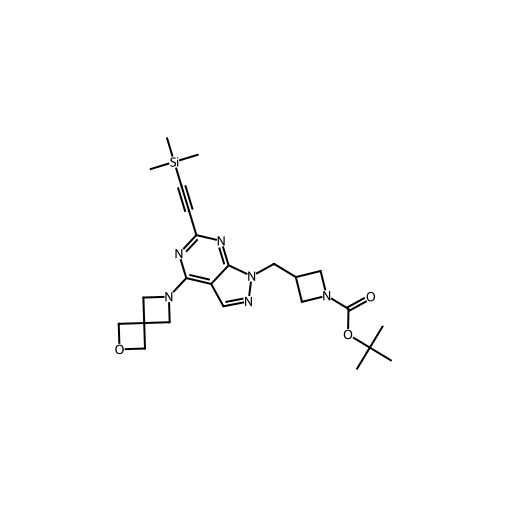 CC(C)(C)OC(=O)N1CC(Cn2ncc3c(N4CC5(COC5)C4)nc(C#C[Si](C)(C)C)nc32)C1